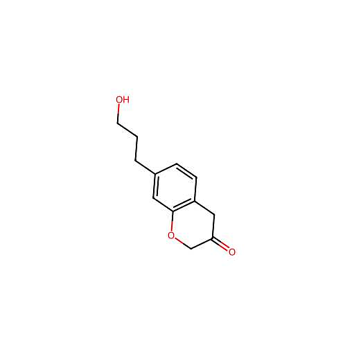 O=C1COc2cc(CCCO)ccc2C1